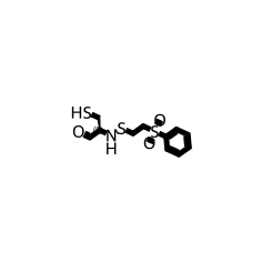 O=C[C@@H](CS)NSCCS(=O)(=O)c1ccccc1